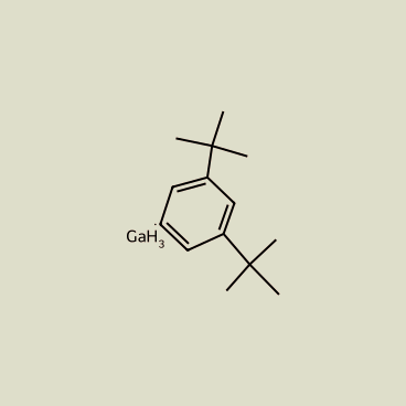 CC(C)(C)c1c[c]cc(C(C)(C)C)c1.[GaH3]